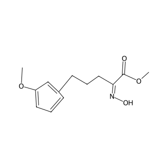 COC(=O)C(CCCc1cccc(OC)c1)=NO